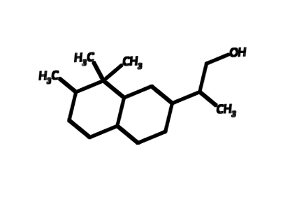 CC(CO)C1CCC2CCC(C)C(C)(C)C2C1